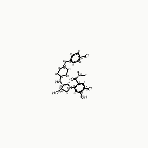 CN(C)C(=O)c1cc(Cl)c(O)cc1N1C[C@@H](O)[C@H](NC2CCN(Cc3ccc(Cl)cc3)CC2)C1